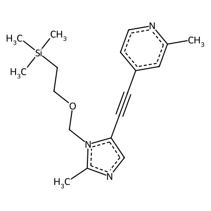 Cc1cc(C#Cc2cnc(C)n2COCC[Si](C)(C)C)ccn1